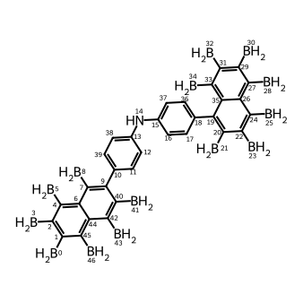 Bc1c(B)c(B)c2c(B)c(-c3ccc(Nc4ccc(-c5c(B)c(B)c(B)c6c(B)c(B)c(B)c(B)c56)cc4)cc3)c(B)c(B)c2c1B